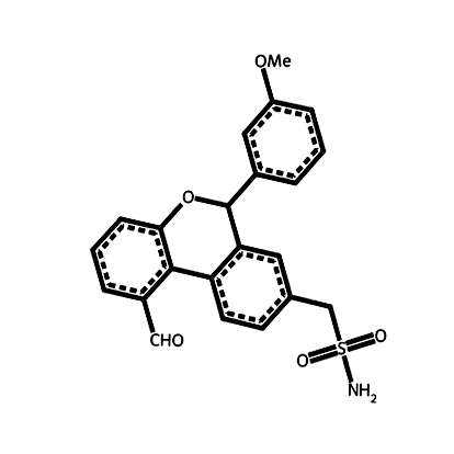 COc1cccc(C2Oc3cccc(C=O)c3-c3ccc(CS(N)(=O)=O)cc32)c1